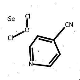 ClOCl.N#Cc1ccncc1.[Se]